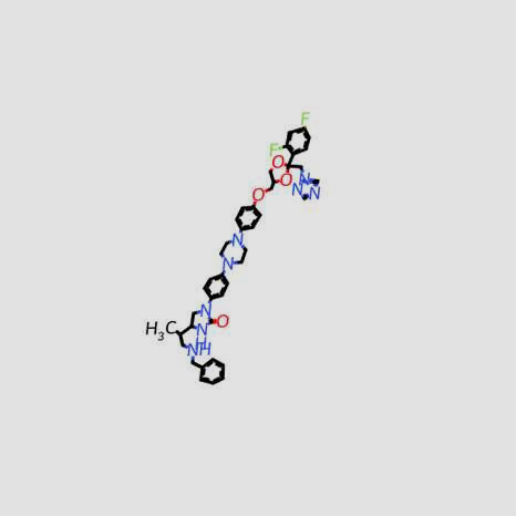 CC(CNCc1ccccc1)C1CN(c2ccc(N3CCN(c4ccc(OCC5COC(Cn6cncn6)(c6ccc(F)cc6F)O5)cc4)CC3)cc2)C(=O)N1